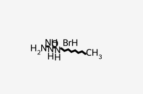 Br.CCCCCCCCCNC(=O)NC(=N)N